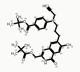 C#CCN(CCCc1cc2nc(COC(=O)C(C)(C)C)[nH]c(=O)c2cc1C)c1ccc(C(=O)OC(C)(C)C)cc1